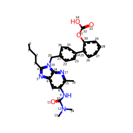 CCCCc1nc2cc(NC(=O)N(C)C)c(C)nc2n1Cc1ccc(-c2ccccc2OC(=O)O)cc1